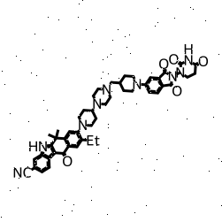 CCc1cc2c(cc1N1CCC(N3CCN(CC4CCN(c5ccc6c(c5)C(=O)N(N5CCC(=O)NC5=O)C6=O)CC4)CC3)CC1)C(C)(C)c1[nH]c3cc(C#N)ccc3c1C2=O